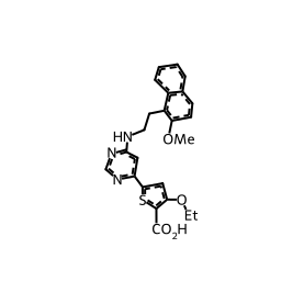 CCOc1cc(-c2cc(NCCc3c(OC)ccc4ccccc34)ncn2)sc1C(=O)O